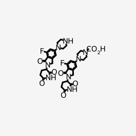 O=C1CCC(N2Cc3cc(N4CCN(C(=O)O)CC4)cc(F)c3C2=O)C(=O)N1.O=C1CCC(N2Cc3cc(N4CCNCC4)cc(F)c3C2=O)C(=O)N1